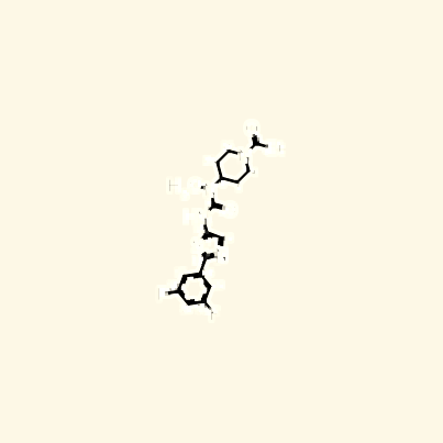 CCC(=O)N1CCC(N(C)C(=O)Nc2cnc(-c3cc(F)cc(F)c3)s2)CC1